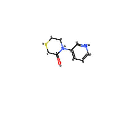 O=C1CSCCN1c1cc[c]nc1